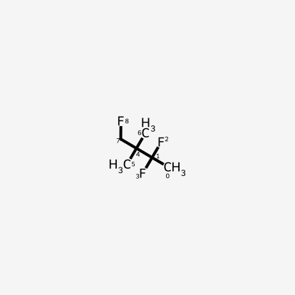 CC(F)(F)C(C)(C)CF